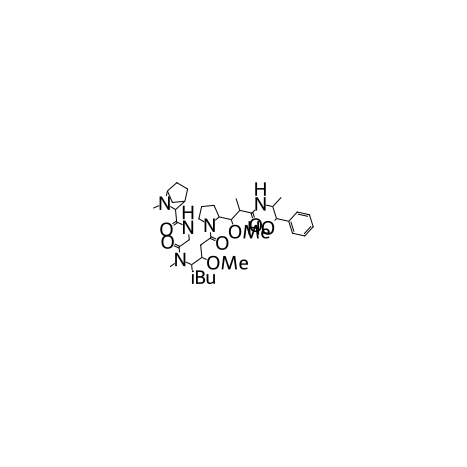 CCC(C)C(C(CC(=O)N1CCCC1C(OC)C(C)C(=O)NC(C)C(O)c1ccccc1)OC)N(C)C(=O)CNC(=O)C1C2CCC(C2)N1C